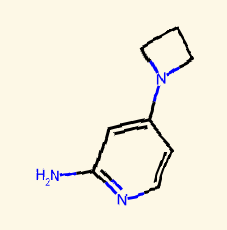 Nc1cc(N2CCC2)ccn1